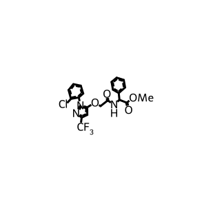 COC(=O)C(NC(=O)COc1cc(C(F)(F)F)nn1-c1ccccc1Cl)c1ccccc1